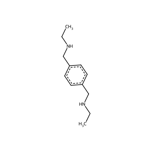 CCNCc1ccc(CNCC)cc1